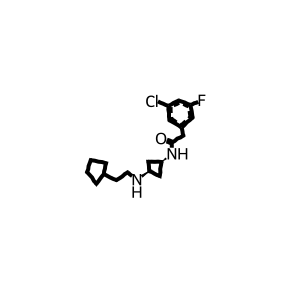 O=C(Cc1cc(F)cc(Cl)c1)N[C@H]1C[C@H](NCCC2CCCC2)C1